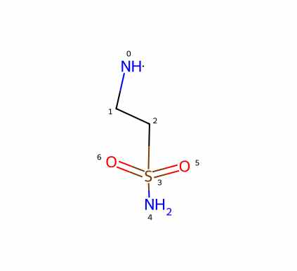 [NH]CCS(N)(=O)=O